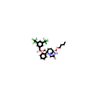 CCCCOC[C@]12CC[C@@](CO[C@H](C)c3cc(C(F)(F)F)cc(C(F)(F)F)c3)(c3ccccc3)N(CC(=S)N1)C2